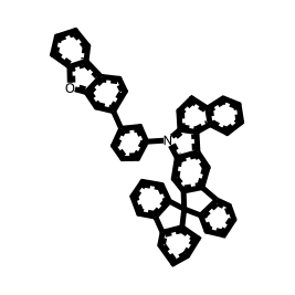 c1cc(-c2ccc3c(c2)oc2ccccc23)cc(-n2c3cc4c(cc3c3c5ccccc5ccc32)-c2ccccc2C42c3ccccc3-c3ccccc32)c1